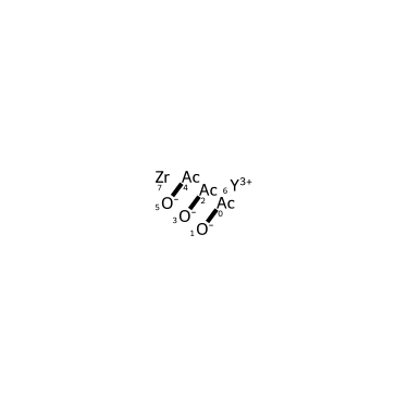 CC(=O)[O-].CC(=O)[O-].CC(=O)[O-].[Y+3].[Zr]